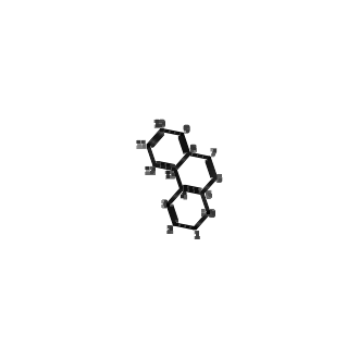 [C]1CC=Cc2c1ccc1ccccc21